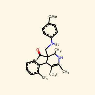 CCC(=O)C1(CN(CC)c2ccc(OC)cc2)C(C)NC(C)=C(C(=O)O)C1c1ccccc1C(F)(F)F